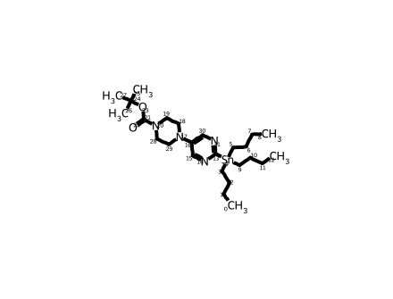 CCC[CH2][Sn]([CH2]CCC)([CH2]CCC)[c]1ncc(N2CCN(C(=O)OC(C)(C)C)CC2)cn1